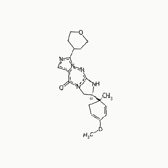 COC1=CCC(C)([C@H]2Cn3c(nn4c(C5CCOCC5)ncc4c3=O)N2)C=C1